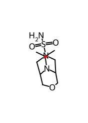 CC(C)N1C2COCC1CN(S(N)(=O)=O)C2